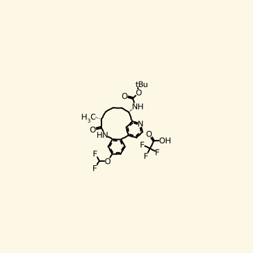 C[C@@H]1CCC[C@H](NC(=O)OC(C)(C)C)c2cc(ccn2)-c2ccc(OC(F)F)cc2NC1=O.O=C(O)C(F)(F)F